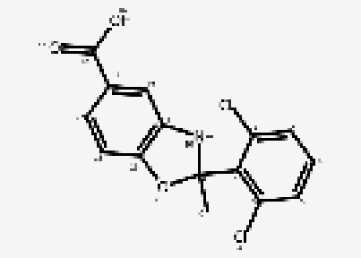 CC1(c2c(Cl)cccc2Cl)Nc2cc(C(=O)O)ccc2O1